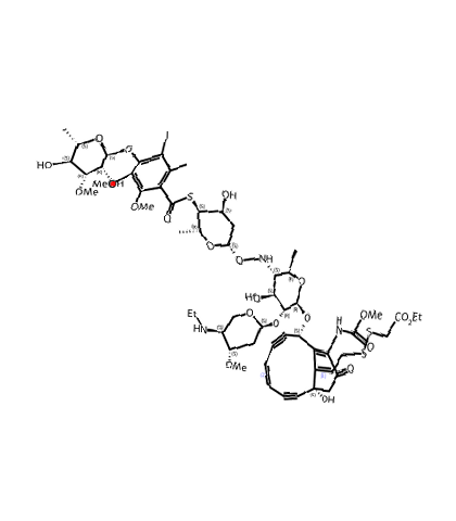 CCN[C@H]1CO[C@@H](O[C@H]2[C@H](O[C@H]3C#C/C=C\C#C[C@]4(O)CC(=O)C(NC(=O)OC)=C3/C4=C\CSSCC(=O)OCC)O[C@H](C)[C@@H](NO[C@H]3C[C@H](O)[C@H](SC(=O)c4c(C)c(I)c(O[C@@H]5O[C@@H](C)[C@H](O)[C@@H](OC)[C@H]5O)c(OC)c4OC)[C@@H](C)O3)[C@@H]2O)C[C@@H]1OC